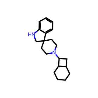 c1ccc2c(c1)NCC21CCN(C2CC3CCCCC32)CC1